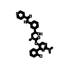 CN(CC(O)c1cccc(NC(=O)c2ccncc2)c1)C(=O)Oc1cnc(N(C)C)nc1-c1ccccc1Cl